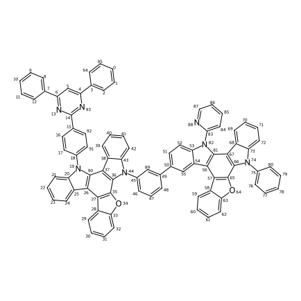 c1ccc(-c2cc(-c3ccccc3)nc(-c3ccc(-n4c5ccccc5c5c6c7ccccc7oc6c6c(c7ccccc7n6-c6cccc(-c7ccc8c(c7)c7c9c%10ccccc%10oc9c9c(c%10ccccc%10n9-c9ccccc9)c7n8-c7ccccn7)c6)c54)cc3)n2)cc1